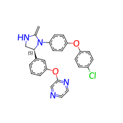 C=C1NC[C@H](c2cccc(Oc3cnccn3)c2)N1c1ccc(Oc2ccc(Cl)cc2)cc1